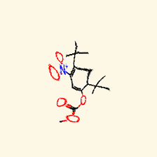 COC(=O)OC1=CC([N+](=O)[O-])=C(C(C)(C)C)CC1C(C)(C)C